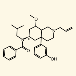 C=CCN1CCC2(c3cccc(O)c3)C[C@@H](N(CC(C)C)C(=O)c3ccccc3)CC(OC)C2C1